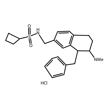 CNC1CCc2ccc(CNS(=O)(=O)C3CCC3)cc2C1Cc1ccccc1.Cl